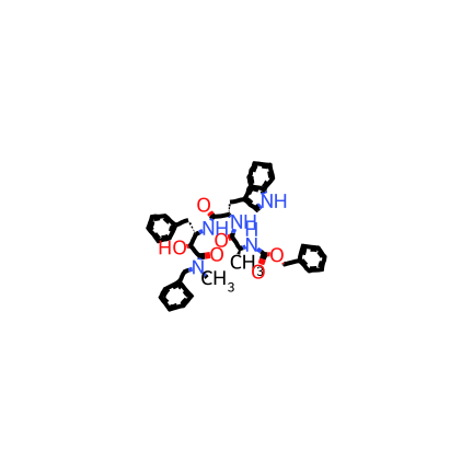 C[C@H](NC(=O)OCc1ccccc1)C(=O)N[C@@H](Cc1c[nH]c2ccccc12)C(=O)N[C@@H](Cc1ccccc1)C(O)C(=O)N(C)Cc1ccccc1